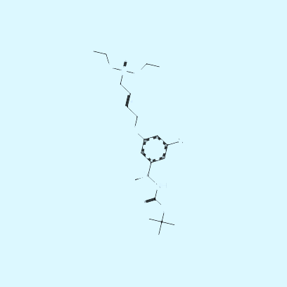 CCOP(=O)(C/C=C/COc1cc(N)cc([C@H](C)NC(=O)OC(C)(C)C)c1)OCC